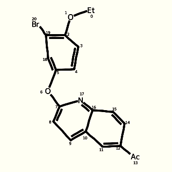 CCOc1ccc(Oc2ccc3cc(C(C)=O)ccc3n2)cc1Br